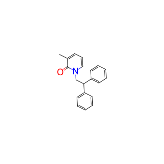 Cc1cccn(CC(c2ccccc2)c2ccccc2)c1=O